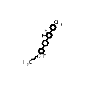 CCCCOc1ccc(C2CCC(c3ccc(-c4ccc(C)cc4)c(F)c3F)CC2)cc1F